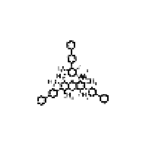 Cc1c(C)c(-c2ccc(-c3ccccc3)cc2)c(C)c(C)c1B1c2c(C)c(C)c(-c3ccc(-c4ccccc4)cc3)c(C)c2Cc2c(C)c(-c3ccc(-c4ccccc4)cc3)c(C)c(C)c21